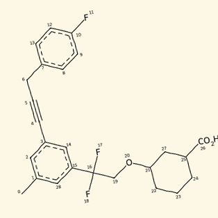 Cc1cc(C#CCc2ccc(F)cc2)cc(C(F)(F)COC2CCCC(C(=O)O)C2)c1